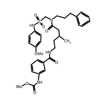 COc1ccc(NS(=O)(=O)CN(CCCc2ccccc2)C(=O)CC(C)CCNC(=O)c2cccc(NC(=O)OC(C)(C)C)c2)cc1